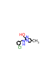 Cc1ccn2c(NCc3cccc(Cl)c3)c(CO)nc2c1